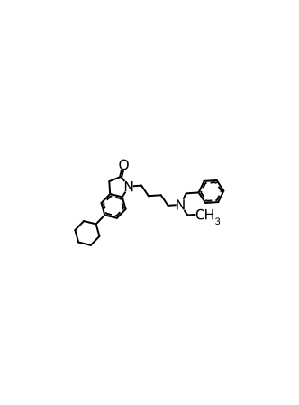 CCN(CCCCN1C(=O)Cc2cc(C3CCCCC3)ccc21)Cc1ccccc1